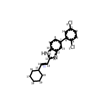 Clc1ccc(Cl)c(-c2ccc3[nH]c(/C=C/C4CCCCC4)nc3c2)c1